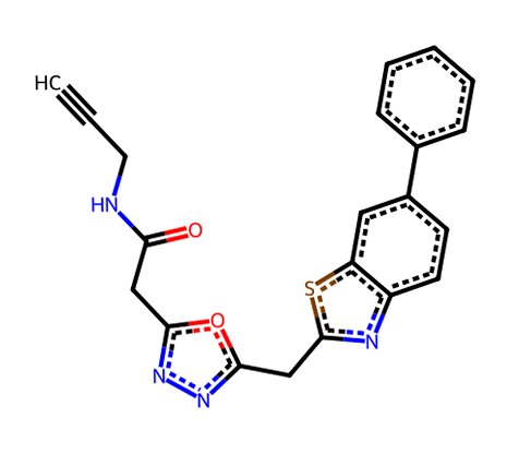 C#CCNC(=O)Cc1nnc(Cc2nc3ccc(-c4ccccc4)cc3s2)o1